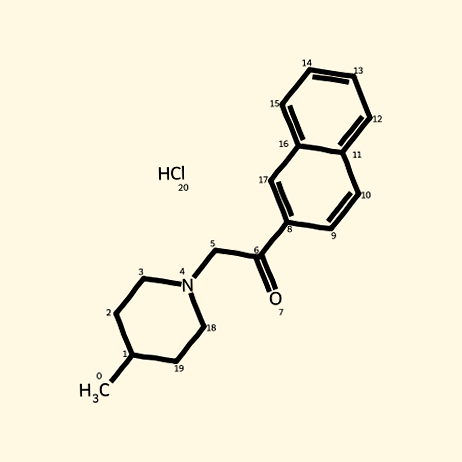 CC1CCN(CC(=O)c2ccc3ccccc3c2)CC1.Cl